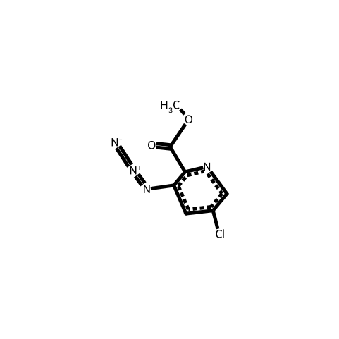 COC(=O)c1ncc(Cl)cc1N=[N+]=[N-]